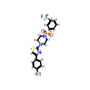 CCc1ccc(-c2csc(N3CCN(S(=O)(=O)c4cccc(C(F)(F)F)c4)CC3)n2)cc1